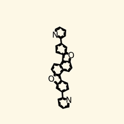 c1ccc(-c2ccc3c(c2)oc2ccc4c(ccc5oc6cc(-c7ccccn7)ccc6c54)c23)nc1